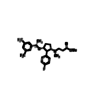 COC(=O)CCN(C)C1CCC(O[C@@H](C)c2cc(C(F)(F)F)cc(C(F)(F)F)c2)C1c1ccc(F)cc1